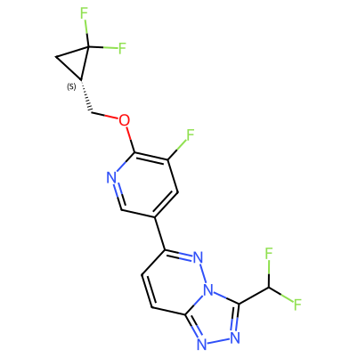 Fc1cc(-c2ccc3nnc(C(F)F)n3n2)cnc1OC[C@@H]1CC1(F)F